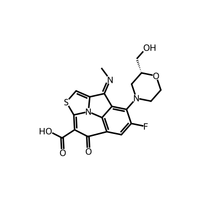 CN=c1c2c(N3CCO[C@@H](CO)C3)c(F)cc3c(=O)c(C(=O)O)c4scc1n4c32